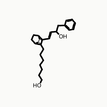 OCCCCCCCC1C2CCC(O2)C1C=CC(O)Cc1ccccc1